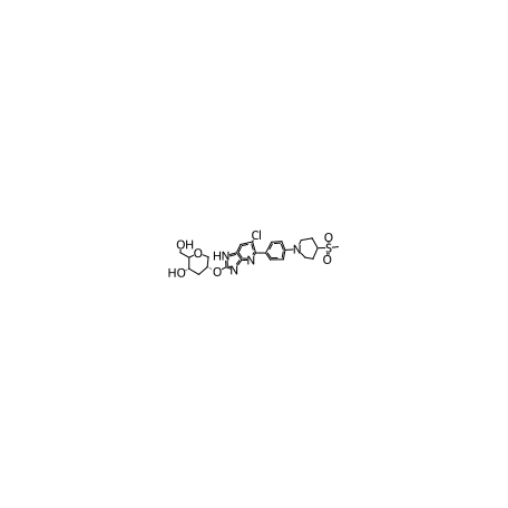 CS(=O)(=O)C1CCN(c2ccc(-c3nc4nc(O[C@H]5COC(CO)[C@@H](O)C5)[nH]c4cc3Cl)cc2)CC1